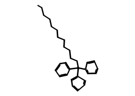 CCCCCCCCCCCCC(c1ccccc1)(c1ccccc1)c1ccccc1